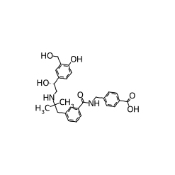 CC(C)(Cc1cccc(C(=O)NCc2ccc(C(=O)O)cc2)c1)NC[C@H](O)c1ccc(O)c(CO)c1